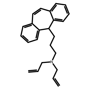 C=CCN(CC=C)CCCC1c2ccccc2C=Cc2ccccc21